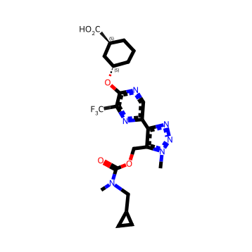 CN(CC1CC1)C(=O)OCc1c(-c2cnc(O[C@H]3CCC[C@H](C(=O)O)C3)c(C(F)(F)F)n2)nnn1C